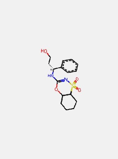 O=S1(=O)N=C(N[C@H](CCO)c2ccccc2)OC2CCCCC21